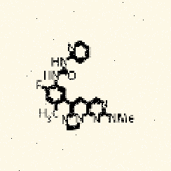 CNc1ncc2c(n1)N1CCN=C1C(c1cc(NC(=O)Nc3ccccn3)c(F)cc1C)=C2